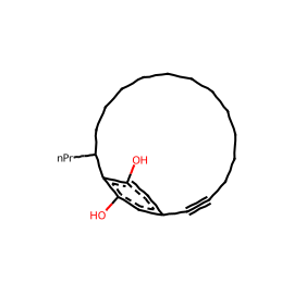 CCCC1CCCCCCCCCCCC#Cc2cc(O)c1c(O)c2